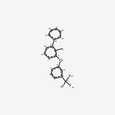 Cc1c(Oc2cccc(C(F)(F)F)c2)cccc1-c1ccccc1